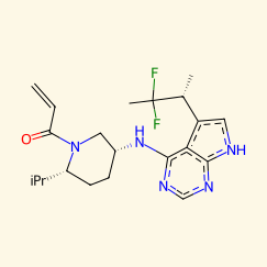 C=CC(=O)N1C[C@H](Nc2ncnc3[nH]cc([C@@H](C)C(C)(F)F)c23)CC[C@@H]1C(C)C